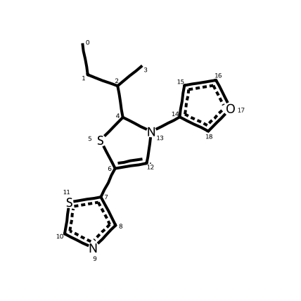 CCC(C)C1SC(c2cncs2)=[C]N1c1ccoc1